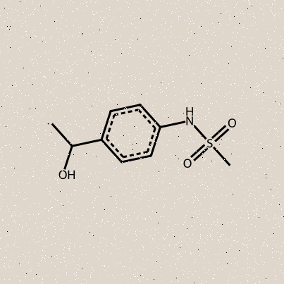 [CH2]C(O)c1ccc(NS(C)(=O)=O)cc1